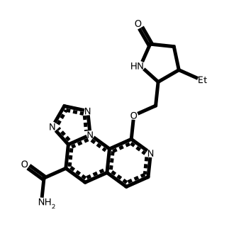 CCC1CC(=O)NC1COc1nccc2cc(C(N)=O)c3ncnn3c12